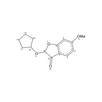 COc1ccc2c(c1)OC(OC1CCCC1)C2=O